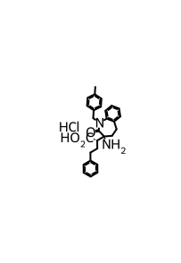 Cc1ccc(CN2C(=O)[C@@](N)([C@H](CCc3ccccc3)C(=O)O)CCc3ccccc32)cc1.Cl